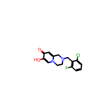 O=c1cc2n(cc1O)CCN(Cc1c(F)cccc1Cl)C2